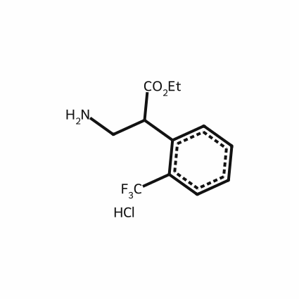 CCOC(=O)C(CN)c1ccccc1C(F)(F)F.Cl